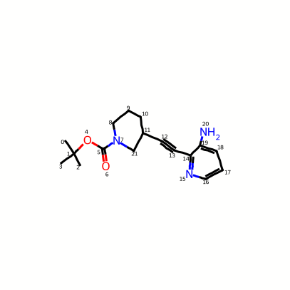 CC(C)(C)OC(=O)N1CCCC(C#Cc2ncccc2N)C1